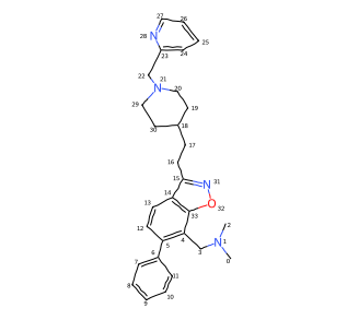 CN(C)Cc1c(-c2ccccc2)ccc2c(CCC3CCN(Cc4ccccn4)CC3)noc12